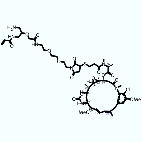 C=CC(=O)NCC(CN)OCC(=O)NCCOCCOCCN1C(=O)CC(SCCC(=O)N(C)[C@@H](C)C(=O)O[C@H]2CC(=O)N(C)c3cc(cc(OC)c3Cl)C/C(C)=C/C=C/[C@@H](OC)[C@@]3(O)C[C@H](OC(=O)N3)[C@@H](C)[C@@H]3O[C@@]23C)C1=O